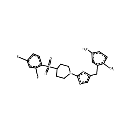 Cc1ccc(C)c(Cc2csc(N3CCC(S(=O)(=O)c4ccc(F)cc4F)CC3)n2)c1